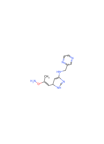 C/C(=C\C1C=C(NCc2cnccn2)N=CN1)ON